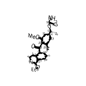 CCOc1nccc2c(C(=O)c3c(F)cc([C@@H](C)OC(N)=O)cc3OC)cccc12